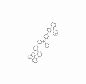 c1ccc(N(c2ccc(-c3ccc4c(c3)C3(c5ccccc5-4)C4CC5CC(C4)CC3C5)cc2)c2cccc(-c3cccc(-c4cccc5c4C4(c6ccccc6-5)C5CC6CCC(C5)C4C6)c3)c2)cc1